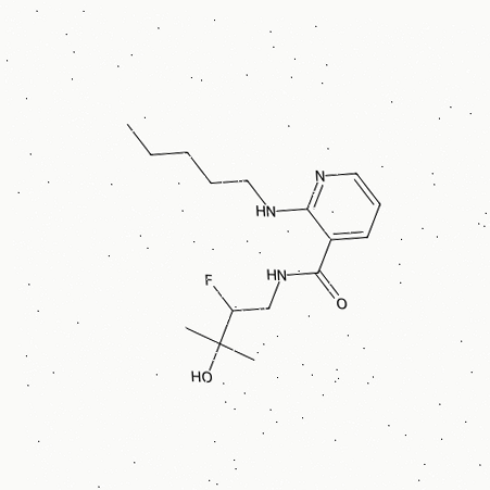 CCCCCNc1ncccc1C(=O)NCC(F)C(C)(C)O